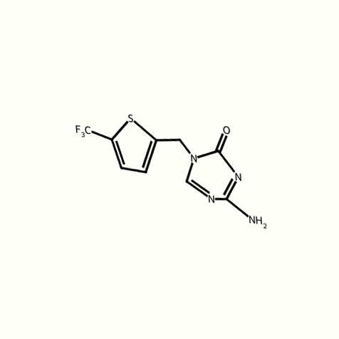 Nc1ncn(Cc2ccc(C(F)(F)F)s2)c(=O)n1